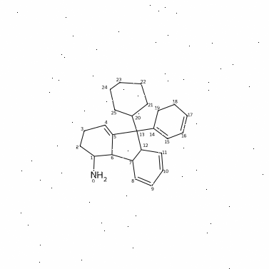 NC1CCC=C2C1C1C=CC=CC1C2(C1=CC=CCC1)C1CCCCC1